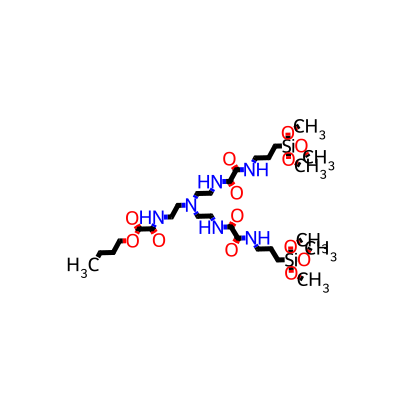 CCCCOC(=O)C(=O)NCCN(CCNC(=O)C(=O)NCCC[Si](OC)(OC)OC)CCNC(=O)C(=O)NCCC[Si](OC)(OC)OC